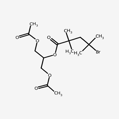 CC(=O)OCC(COC(C)=O)OC(=O)C(C)(C)CC(C)(C)Br